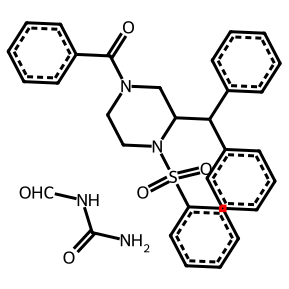 NC(=O)NC=O.O=C(c1ccccc1)N1CCN(S(=O)(=O)c2ccccc2)C(C(c2ccccc2)c2ccccc2)C1